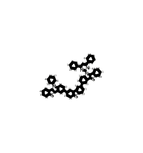 c1ccc(-c2cc(-c3ccccc3)nc(N3c4ccc(-c5ccc6sc7ccc(-c8ccc9c(c8)C8Sc%10ccccc%10C8N9c8ccccc8)cc7c6c5)cc4C4Sc5ccccc5C43)n2)cc1